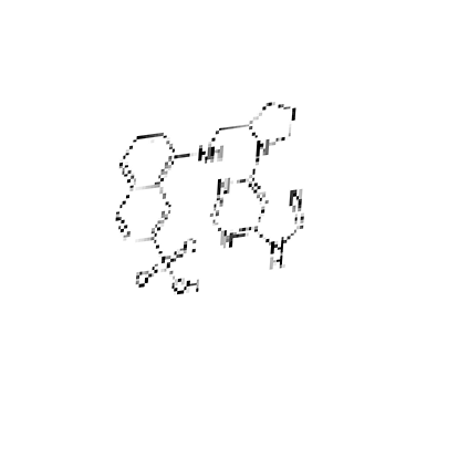 O=S(=O)(O)c1ccc2cccc(NCC3CCCN3c3ncnc4[nH]cnc34)c2c1